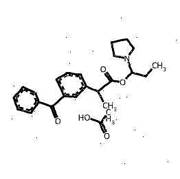 CC(=O)O.CCC(OC(=O)C(C)c1cccc(C(=O)c2ccccc2)c1)N1CCCC1